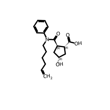 C=CCCCCN(C(=O)[C@@H]1C[C@@H](O)C[C@H]1C(=O)O)c1ccccc1